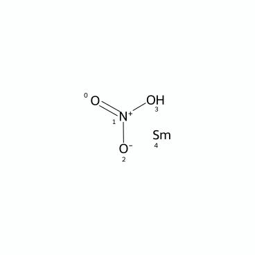 O=[N+]([O-])O.[Sm]